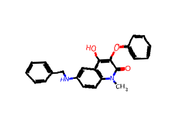 Cn1c(=O)c(Oc2ccccc2)c(O)c2cc(NCc3ccccc3)ccc21